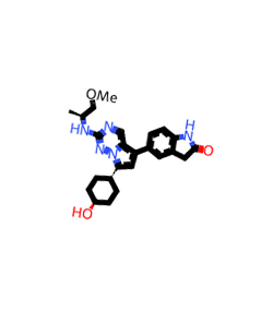 COC[C@H](C)Nc1ncc2c(-c3ccc4c(c3)CC(=O)N4)cc([C@H]3CC[C@H](O)CC3)n2n1